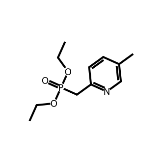 CCOP(=O)(Cc1ccc(C)cn1)OCC